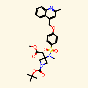 COC(=O)CC1(N(C)S(=O)(=O)c2ccc(OCc3cc(C)nc4ccccc34)cc2)CN(C(=O)OC(C)(C)C)C1